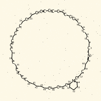 C1=NCCCCCCCCCCCCCCCCCCCCCCCCCCCCCCCCCCCCCCCCCCCCCCCCC2CCCCN2CCCCC1